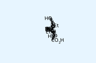 CCc1cc(CCC(CC)c2ccc(C(=O)NCCC(=O)O)s2)ccc1OCCCCO.CN.CN.CN